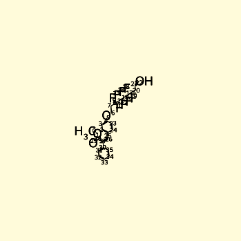 COc1cc(OCCC(F)(F)C(F)(F)C(F)(F)C(F)(F)CCO)ccc1/C=C(\C=O)c1ccccc1